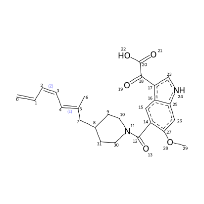 C=C/C=C\C=C(/C)CC1CCN(C(=O)c2cc3c(C(=O)C(=O)O)c[nH]c3cc2OC)CC1